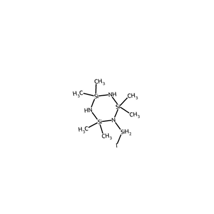 C[Si]1(C)N[Si](C)(C)N([SiH2]I)[Si](C)(C)N1